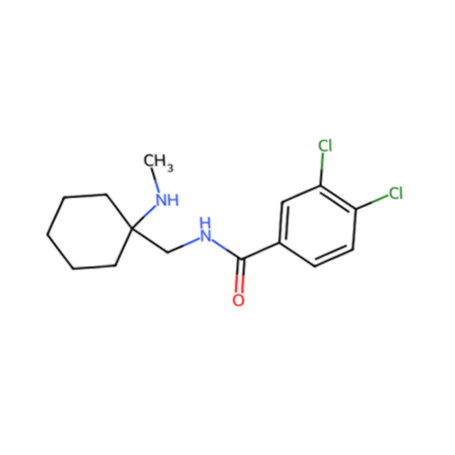 CNC1(CNC(=O)c2ccc(Cl)c(Cl)c2)CCCCC1